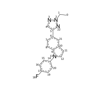 CCn1ncc(-c2ccc3c(ccn3-c3ccc(F)cc3)c2)n1